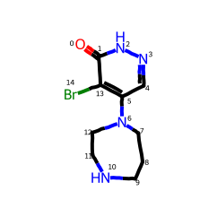 O=c1[nH]ncc(N2CCCNCC2)c1Br